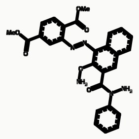 COC(=O)c1ccc(C(=O)OC)c(/N=N/c2c(ON)c(C(=O)N(N)c3ccccc3)cc3ccccc23)c1